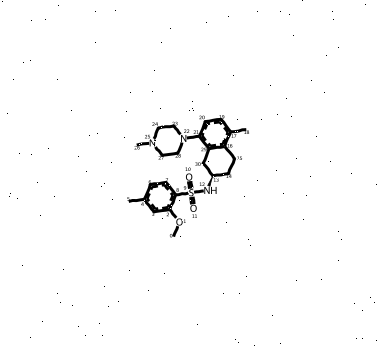 COc1cc(C)ccc1S(=O)(=O)N[C@@H]1CCc2c(C)ccc(N3CCN(C)CC3)c2C1